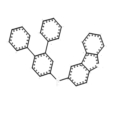 c1ccc(-c2ccc(Nc3ccc4sc5ccccc5c4c3)cc2-c2ccccc2)cc1